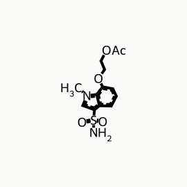 CC(=O)OCCOc1cccc2c(S(N)(=O)=O)cn(C)c12